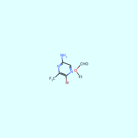 CCOC=O.Nc1cnc(Br)c(C(F)(F)F)n1